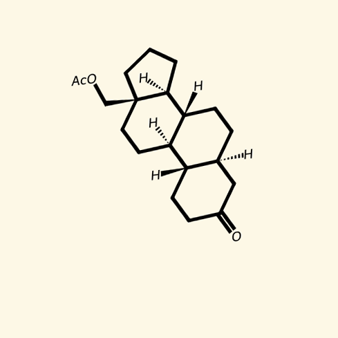 CC(=O)OC[C@@]12CCC[C@H]1[C@@H]1CC[C@H]3CC(=O)CC[C@@H]3[C@H]1CC2